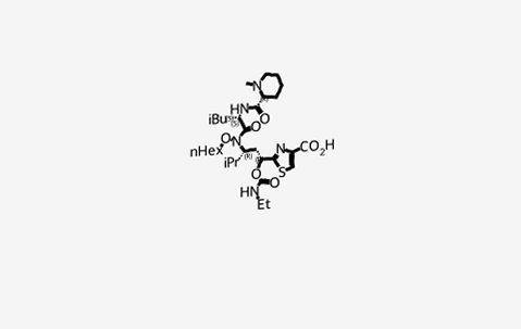 CCCCCCON(C(=O)[C@@H](NC(=O)[C@H]1CCCCN1C)[C@@H](C)CC)[C@H](C[C@@H](OC(=O)NCC)c1nc(C(=O)O)cs1)C(C)C